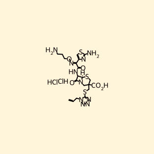 C=CCn1nnnc1SCC1(C(=O)O)CS[C@@H]2C(NC(=O)C(=NOCCCN)c3csc(N)n3)C(=O)N2C1.Cl.Cl